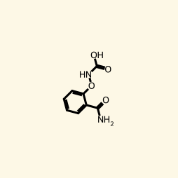 NC(=O)c1ccccc1ONC(=O)O